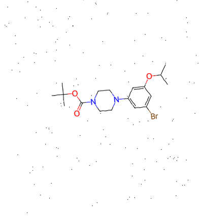 CC(C)Oc1cc(Br)cc(N2CCN(C(=O)OC(C)(C)C)CC2)c1